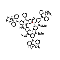 CSN1c2cc3c(cc2B2c4ccccc4Oc4cc(N5c6ccccc6[Si](C)(C)c6ccccc65)cc1c42)B1c2cc4c(cc2N(SC)c2cc(N5c6ccccc6[Si](C)(C)c6ccccc65)cc(c21)N3SC)Nc1cc(N2c3ccccc3[Si](C)(C)c3ccccc32)cc2c1B4c1ccccc1N2c1ccccc1